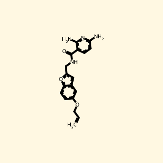 C=CCOc1ccc2oc(CNC(=O)c3ccc(N)nc3N)cc2c1